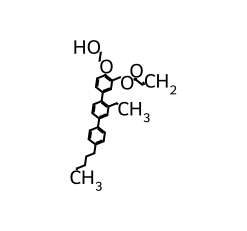 C=CC(=O)OCc1cc(-c2ccc(-c3ccc(CCCCC)cc3)cc2CC)ccc1OCCO